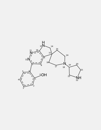 Oc1ccccc1-c1cc2c(nn1)NCC21CCN(C2CCNC2)CC1